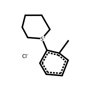 Cc1ccccc1[S+]1CCCCC1.[Cl-]